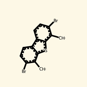 [CH]c1c(Br)ccc2c1sc1c([CH])c(Br)ccc12